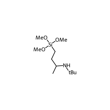 CO[Si](CCC(C)NC(C)(C)C)(OC)OC